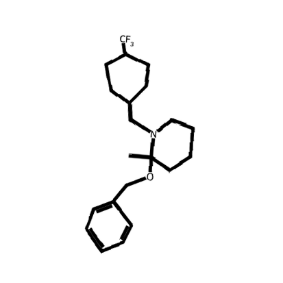 CC1(OCc2ccccc2)CCCCN1CC1CCC(C(F)(F)F)CC1